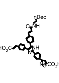 CCCCCCCCCCCCNC(=O)C=Cc1ccc(-c2[nH]c(-c3ccc(-c4cc(C(=O)O)on4)cc3)nc2-c2ccc(/C=C/C(=O)O)cc2)cc1